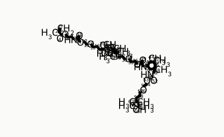 C=C(C)C(=O)OCCNC(=O)OCCOCCCC(C)(C)[Si](C)(C)OC(C)(C)[Si](C)(C)CCCOCCOC(=O)NC1CC(C)(C)CC(C)(CNC(=O)OCCOCCCC(C)(C)[Si](C)(C)O)C1